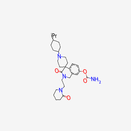 CC(C)[C@H]1CC[C@@H](N2CCC3(CC2)C(=O)N(CCN2CCCCC2=O)Cc2cc(OC(N)=O)ccc23)CC1